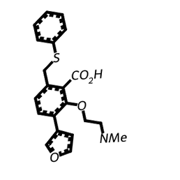 CNCCOc1c(-c2ccoc2)ccc(CSc2ccccc2)c1C(=O)O